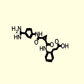 N=C(N)c1ccc(NC(=O)C2CC2C(=O)Nc2ccccc2CCC(=O)O)cc1